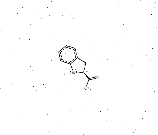 CC(=O)[C@@H]1Cc2ccccc2N1